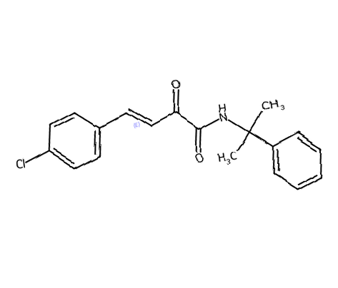 CC(C)(NC(=O)C(=O)/C=C/c1ccc(Cl)cc1)c1ccccc1